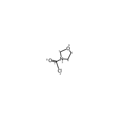 O=C(Cl)N1CCOC1